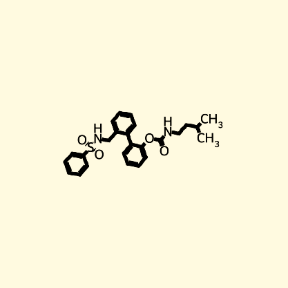 CC(C)CCNC(=O)Oc1ccccc1-c1ccccc1CNS(=O)(=O)c1ccccc1